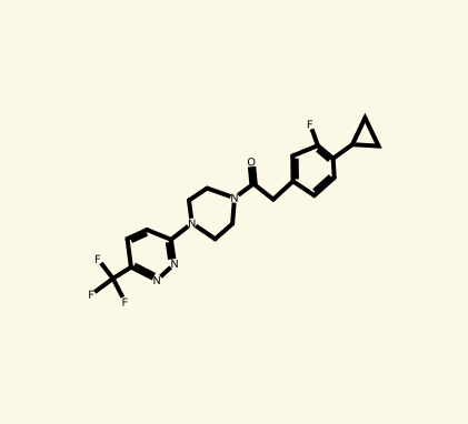 O=C(Cc1ccc(C2CC2)c(F)c1)N1CCN(c2ccc(C(F)(F)F)nn2)CC1